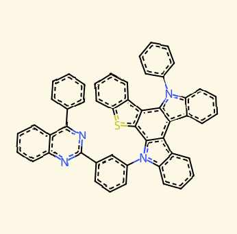 c1ccc(-c2nc(-c3cccc(-n4c5ccccc5c5c6c7ccccc7n(-c7ccccc7)c6c6c7ccccc7sc6c54)c3)nc3ccccc23)cc1